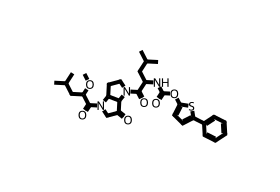 COC(CC(C)C)C(=O)N1CC(=O)C2C1CCN2C(=O)C(CC(C)C)NC(=O)Oc1ccc(-c2ccccc2)s1